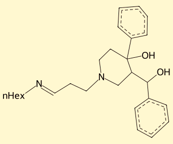 CCCCCCN=CCCN1CCC(O)(c2ccccc2)C(C(O)c2ccccc2)C1